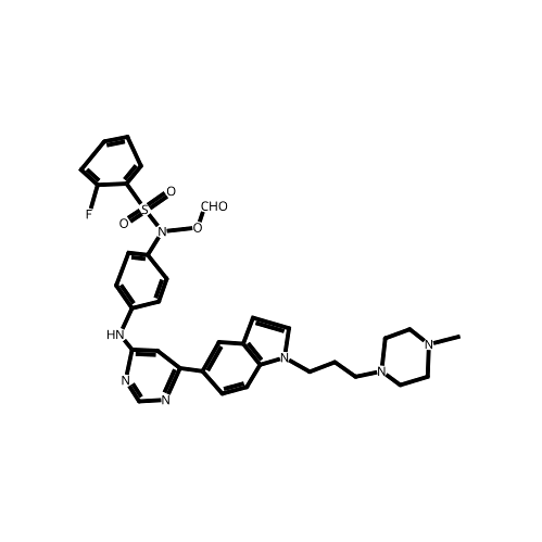 CN1CCN(CCCn2ccc3cc(-c4cc(Nc5ccc(N(OC=O)S(=O)(=O)c6ccccc6F)cc5)ncn4)ccc32)CC1